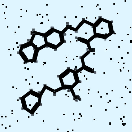 O=C(CNC(=O)c1ccccc1CCOc1ccc2c(c1)[nH]c1ccccc12)c1ccc(OCc2ccccc2)c([N+](=O)[O-])c1